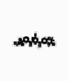 CN1C(=O)C(C)(C)Oc2ccc(Nc3cc(F)nc(Nc4cccc(S(N)(=O)=O)c4)n3)cc21